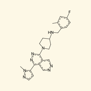 Cc1cc(F)ccc1CNC1CCN(c2nnc(-c3ccnn3C)c3cnncc23)CC1